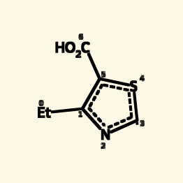 CCc1n[c]sc1C(=O)O